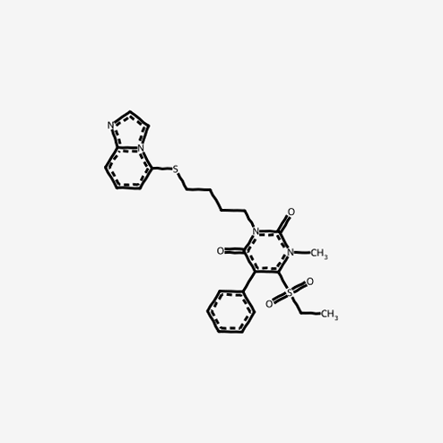 CCS(=O)(=O)c1c(-c2ccccc2)c(=O)n(CCCCSc2cccc3nccn23)c(=O)n1C